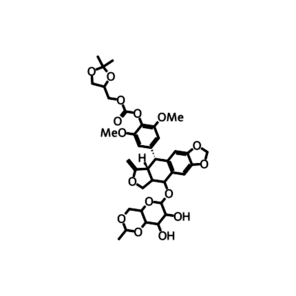 C=C1OCC2C(OC3OC4COC(C)OC4C(O)C3O)c3cc4c(cc3[C@@H](c3cc(OC)c(OC(=O)OCC5COC(C)(C)O5)c(OC)c3)[C@@H]12)OCO4